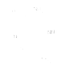 NC(=O)c1nsc(C(=O)O)c1N